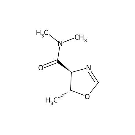 C[C@H]1OC=N[C@@H]1C(=O)N(C)C